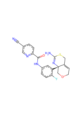 N#Cc1ccc(C(=O)Nc2ccc(F)c([C@]34COCC=C3CSC(N)=N4)c2)nc1